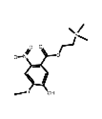 COc1cc([N+](=O)[O-])c(C(=O)OCCS(C)(C)C)cc1O